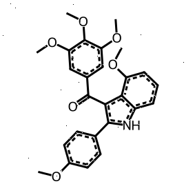 COc1ccc(-c2[nH]c3cccc(OC)c3c2C(=O)c2cc(OC)c(OC)c(OC)c2)cc1